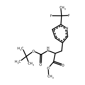 COC(=O)C(Cc1ccc(C(C)(F)F)nc1)NC(=O)OC(C)(C)C